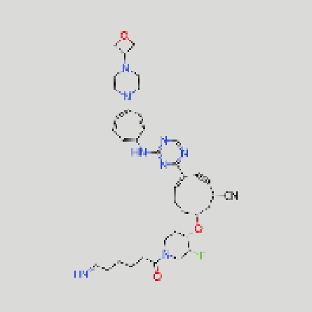 N#CC1C#C/C(c2ncnc(NC3=CC=C=C(N4CCN(C5COC5)CC4)C=C3)n2)=C\CCC(O[C@H]2CCN(C(=O)CCCCC=N)C[C@H]2F)C1